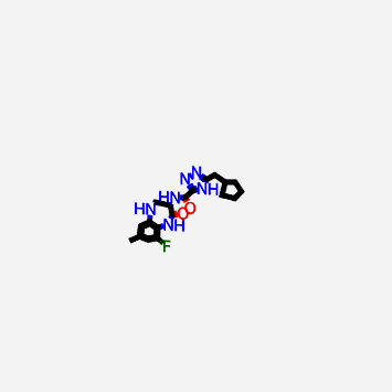 Cc1cc(F)c2c(c1)NCC(NC(=O)c1nnc(CC3CCCC3)[nH]1)C(=O)N2